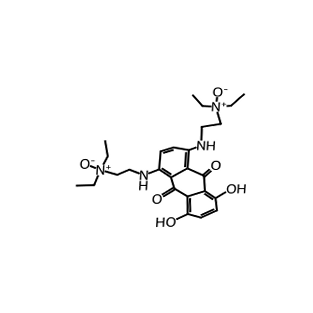 CC[N+]([O-])(CC)CCNc1ccc(NCC[N+]([O-])(CC)CC)c2c1C(=O)c1c(O)ccc(O)c1C2=O